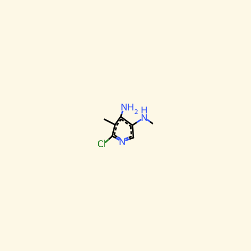 CNc1cnc(Cl)c(C)c1N